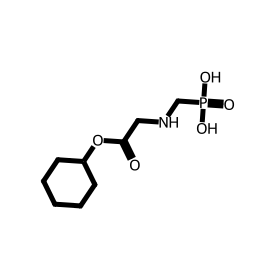 O=C(CNCP(=O)(O)O)OC1CCCCC1